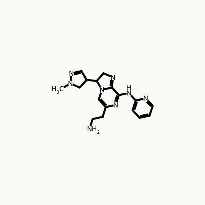 CN1CC(C2CN=C3C(Nc4ccccn4)=NC(CCN)=CN32)C=N1